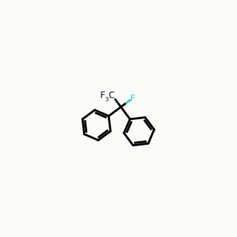 FC(F)(F)C(F)(c1ccccc1)c1ccccc1